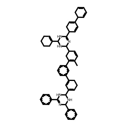 CC1=C(c2cccc(C3=CC(C4NC(c5ccccc5)=NC(c5ccccc5)N4)=CCC3)c2)CC(C2N=C(C3C=CC(C4C=CC=CC4)=CC3)NC(C3=CCCCC3)N2)C=C1